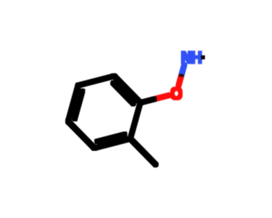 Cc1ccccc1O[NH]